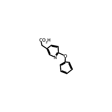 O=C(O)Cc1ccc(Oc2ccccc2)nc1